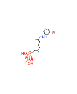 CC(=CCOP(=O)(O)OP(=O)(O)O)CCC=C(C)CNc1cccc(Br)c1